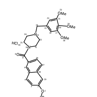 CCCCOc1ccc2cc(C(=O)N3CCN(Cc4cc(OC)c(OC)c(OC)c4)CC3)ccc2c1.Cl